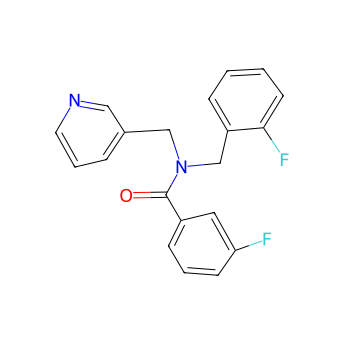 O=C(c1cccc(F)c1)N(Cc1cccnc1)Cc1ccccc1F